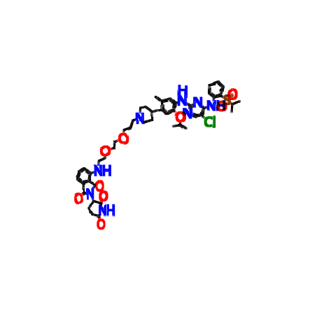 Cc1cc(Nc2ncc(Cl)c(Nc3ccccc3S(=O)(=O)C(C)C)n2)c(OC(C)C)cc1C1CCN(CCCOCCOCCNc2cccc3c2C(=O)N(C2CCC(=O)NC2=O)C3=O)CC1